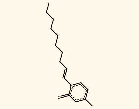 CCCCCCCC/C=C/n1ccc(C)cc1=O